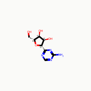 Nc1ncnc([C@@H]2O[C@H](CO)[C@@H](O)[C@H]2O)n1